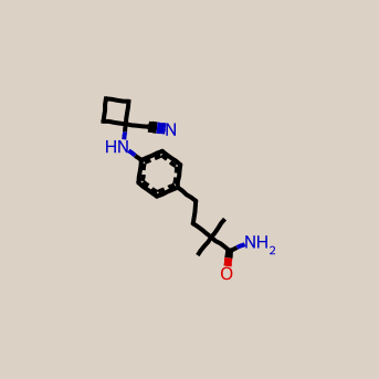 CC(C)(CCc1ccc(NC2(C#N)CCC2)cc1)C(N)=O